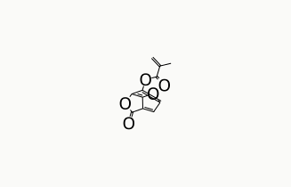 C=C(C)C(=O)Oc1c2c3oc1cc3C(=O)O2